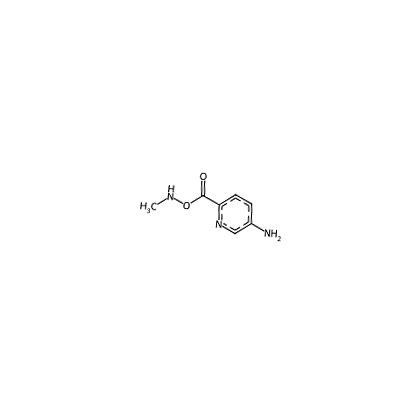 CNOC(=O)c1ccc(N)cn1